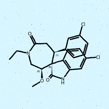 CCN1C[C@H](OC)[C@@]2(C(=O)Nc3cc(Cl)ccc32)[C@H](c2cccc(Cl)c2)CC1=O